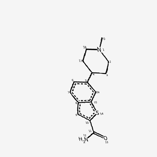 CN1CCC(c2ccc3cc(C(N)=O)sc3c2)CC1